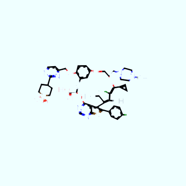 CC/C1=C(C)\C(Cl)=C(/C2=CC2)O[C@H](CN2CCN(C)CC2)COc2ccc(OCc3ccnc(C4CCS(=O)(=O)CC4)n3)c(c2)C[C@H](C(=O)O)Oc2ncnc3sc(-c4ccc(F)cc4)c1c23